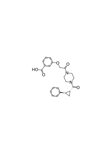 O=C(O)c1cccc(OCC(=O)N2CCN(C(=O)[C@@H]3C[C@H]3c3ccccc3)CC2)c1